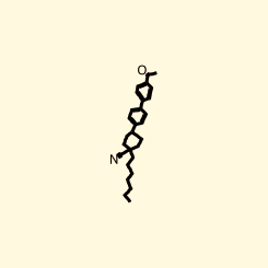 CCCCCCCC1(C#N)CCC(c2ccc(-c3ccc(C(C)=O)cc3)cc2)CC1